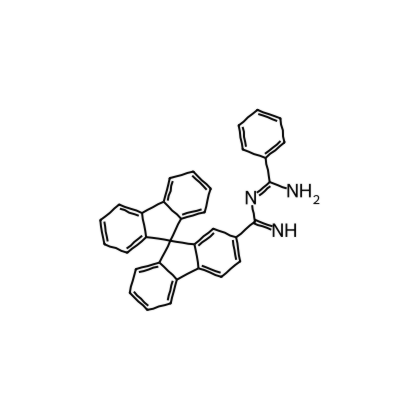 N=C(/N=C(\N)c1ccccc1)c1ccc2c(c1)C1(c3ccccc3-c3ccccc31)c1ccccc1-2